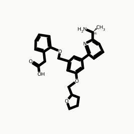 C[C@@H](N)c1cccc(-c2cc(COc3ccccc3CC(=O)O)cc(OCC3CCCO3)c2)n1